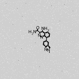 Cn1cc2cc(-c3cccc4c(N)c(C(N)=O)nnc34)ccc2n1